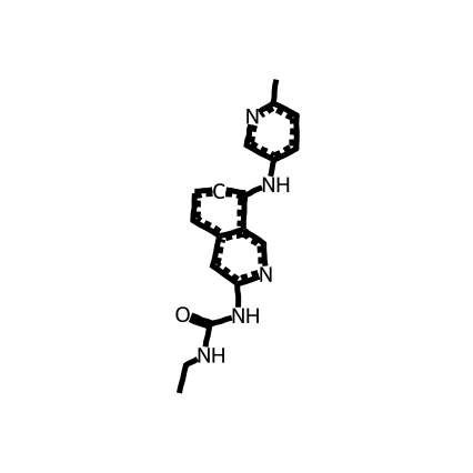 CCNC(=O)Nc1cc2cccc(Nc3ccc(C)nc3)c2cn1